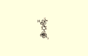 CC1(OC(=O)N2CCC(COS(C)(=O)=O)CC2)CC1